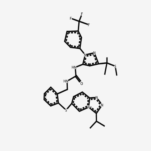 CSC(C)(C)c1cc(NC(=O)NCc2ccccc2Sc2ccc3nnc(C(C)C)n3c2)n(-c2cccc(C(F)(F)F)c2)n1